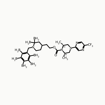 Bc1c(B)c(B)c(CN2CCC(CCOC(=O)N3[C@H](C)CN(c4cnc(C(F)(F)F)cn4)C[C@@H]3C)CC2(B)B)c(B)c1B